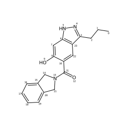 CCCc1n[nH]c2cc(O)c(C(=O)N3Cc4ccccc4C3)cc12